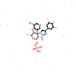 O=P(O)(O)OC[C@@H]1O[C@@H](S)[C@@H](O)[C@](c2cncc(Br)c2)(n2cc(-c3cc(F)c(F)c(F)c3)nn2)[C@@H]1O